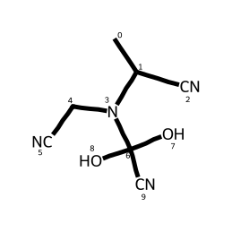 CC(C#N)N(CC#N)C(O)(O)C#N